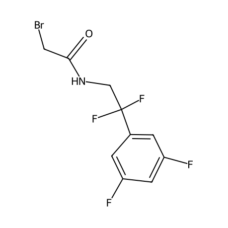 O=C(CBr)NCC(F)(F)c1cc(F)cc(F)c1